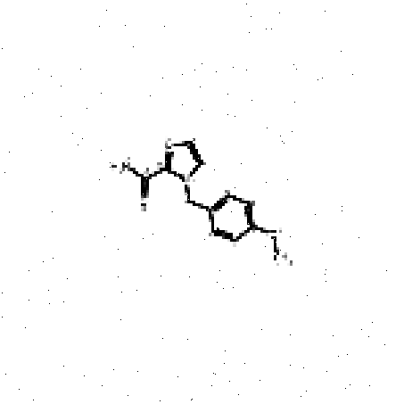 COc1ccc(Cn2c[c]nc2C(N)=O)cc1